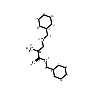 O=C(OCC1CCCCC1)C(COCC1CCCCC1)C(F)(F)F